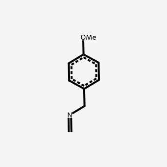 C=NCc1ccc(OC)cc1